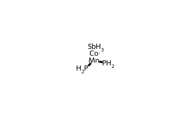 [Co].[PH2][Mn][PH2].[SbH3]